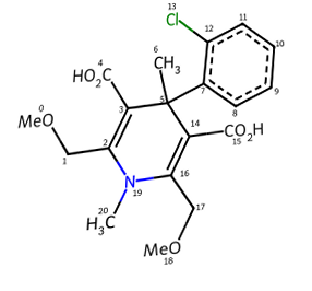 COCC1=C(C(=O)O)C(C)(c2ccccc2Cl)C(C(=O)O)=C(COC)N1C